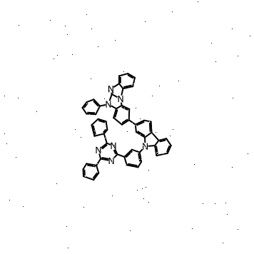 c1ccc(-c2nc(-c3ccccc3)nc(-c3cccc(-n4c5ccccc5c5ccc(-c6ccc7c(c6)n6c8ccccc8nc6n7-c6ccccc6)cc54)c3)n2)cc1